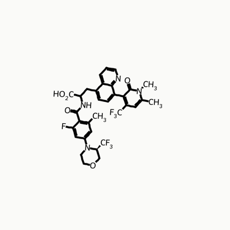 Cc1cc(N2CCOC[C@@H]2C(F)(F)F)cc(F)c1C(=O)NC(Cc1ccc(-c2c(C(F)(F)F)cc(C)n(C)c2=O)c2ncccc12)C(=O)O